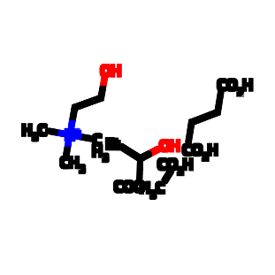 CC(=O)O.CCC(O)C(=O)[O-].C[N+](C)(C)CCO.O=C(O)CCC(=O)O